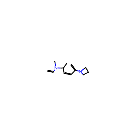 C=CN(C)C(C)/C=C\C(=C)N1CCC1